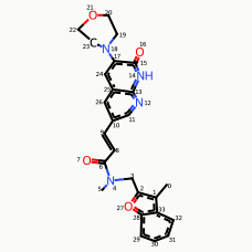 Cc1c(CN(C)C(=O)/C=C/c2cnc3[nH]c(=O)c(N4CCOCC4)cc3c2)oc2ccccc12